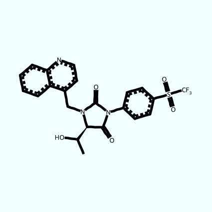 CC(O)[C@@H]1C(=O)N(c2ccc(S(=O)(=O)C(F)(F)F)cc2)C(=O)N1Cc1ccnc2ccccc12